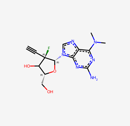 C#C[C@@]1(F)C(O)[C@@H](CO)O[C@H]1n1cnc2c(N(C)C)nc(N)nc21